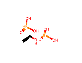 C=CO.O=[PH](O)O.O=[PH](O)O